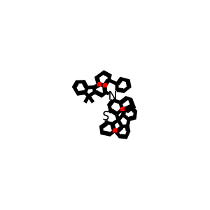 CC1(C)c2ccccc2-c2ccc(N(c3ccccc3-c3ccccc3)c3cc4c(c5ccccc35)C3(c5ccccc5S4)c4ccccc4-c4ccccc43)cc21